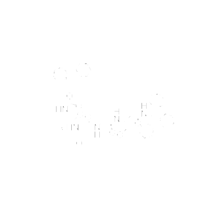 CC[C@H](C)[C@H](NC(=O)OCC1c2ccccc2-c2ccccc21)C(=O)N[C@H](C(=O)NCC(=O)N[C@@H](CC(=O)NC(c1ccccc1)(c1ccccc1)c1ccccc1)C(C)=O)[C@H](C)OC(C)(C)C